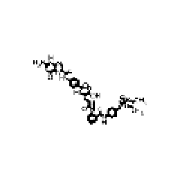 CCOP(=O)(OCC)OCc1ccc(NC(=O)c2ccccc2NC(=O)CC[C@H](NC(=O)c2ccc(NC(=O)c3cnc4[nH]c(N)nc(=O)c4n3)cc2)C(=O)O)cc1